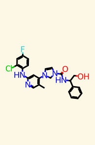 Cc1cnc(Nc2ccc(F)cc2Cl)cc1N1C=CN(C(=O)NC(CO)c2ccccc2)C1